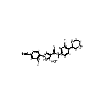 Cl.N#Cc1ccc(-n2cc(C(=O)Nc3ccc(C4CNCCO4)c(Cl)c3)cn2)c(F)c1